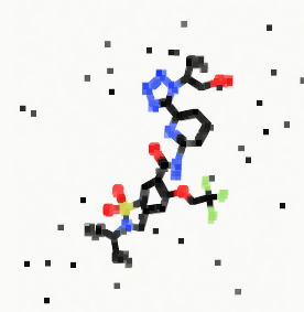 CC(C)N1Cc2cc(OCC(F)(F)F)c(C(=O)Nc3cccc(-c4nnnn4C(C)CO)n3)cc2S1(=O)=O